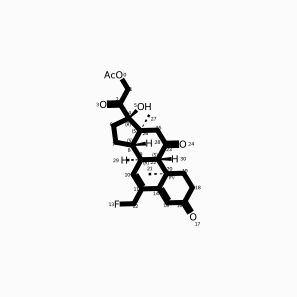 CC(=O)OCC(=O)[C@@]1(O)CC[C@H]2[C@@H]3C=C(CF)C4=CC(=O)CC[C@]4(C)[C@H]3C(=O)C[C@@]21C